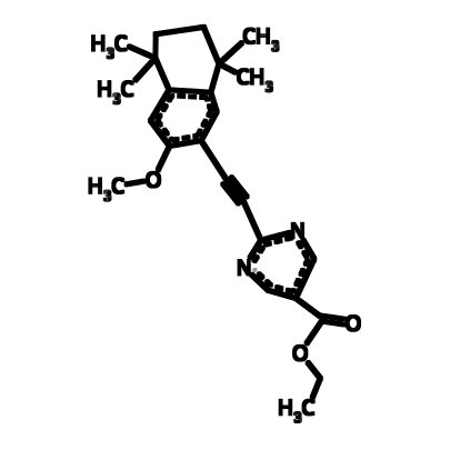 CCOC(=O)c1cnc(C#Cc2cc3c(cc2OC)C(C)(C)CCC3(C)C)nc1